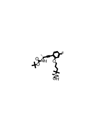 C[C@H](C#Cc1ccc(F)cc1OCCCC(C)(C)[Si](C)(C)O)NC(=O)OC(C)(C)C